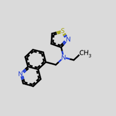 CCN(Cc1cccc2ncccc12)c1ccsn1